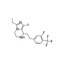 CCc1nc(I)c2n1CCNC2CCc1ccc(C(F)(F)F)c(F)c1